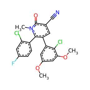 COc1cc(OC)c(Cl)c(-c2cc(C#N)c(=O)n(C)c2-c2ccc(F)cc2Cl)c1